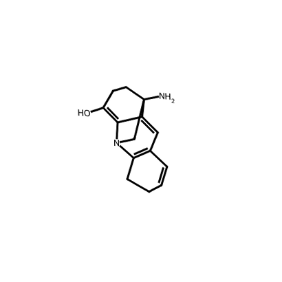 NC12CCC(O)=C3C1=CC1=C(CCC=C1)N3C2